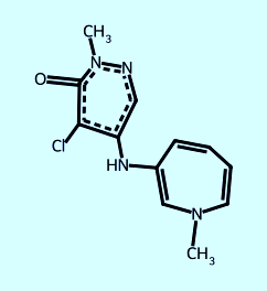 CN1C=CC=CC(Nc2cnn(C)c(=O)c2Cl)=C1